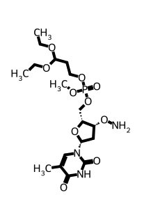 CCOC(CCOP(=O)(OC)OC[C@H]1O[C@@H](n2cc(C)c(=O)[nH]c2=O)C[C@H]1ON)OCC